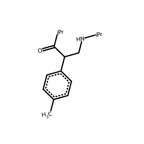 Cc1ccc(C(CNC(C)C)C(=O)C(C)C)cc1